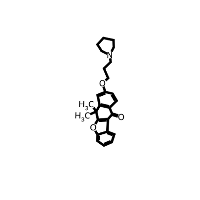 CC1(C)c2cc(OCCCN3CCCCC3)ccc2C(=O)c2c1oc1ccccc21